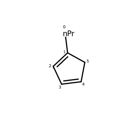 CCCC1=[C]C=CC1